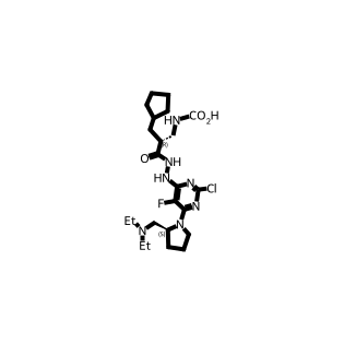 CCN(CC)C[C@@H]1CCCN1c1nc(Cl)nc(NNC(=O)[C@@H](CNC(=O)O)CC2CCCC2)c1F